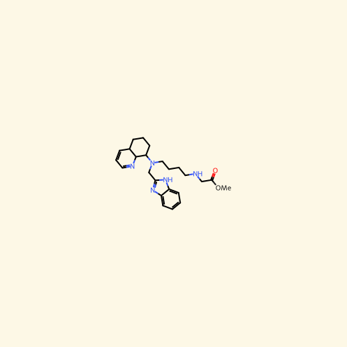 COC(=O)CNCCCCN(Cc1nc2ccccc2[nH]1)C1CCCC2C=CC=NC21